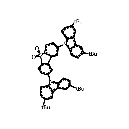 CC(C)(C)c1ccc2c(c1)c1cc(C(C)(C)C)ccc1n2-c1ccc2c(c1)-c1cc(-n3c4ccc(C(C)(C)C)cc4c4cc(C(C)(C)C)ccc43)ccc1S2(=O)=O